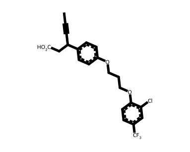 CC#CC(CC(=O)O)c1ccc(OCCCOc2ccc(C(F)(F)F)cc2Cl)cc1